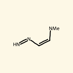 CN/C=C\N=N